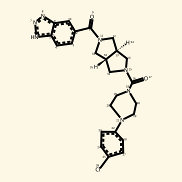 O=C(c1ccc2[nH]nnc2c1)N1C[C@H]2CN(C(=O)N3CCN(c4ccc(Cl)cc4)CC3)C[C@@H]2C1